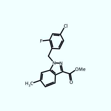 COC(=O)c1nn(Cc2ccc(Cl)cc2F)c2cc(C)ccc12